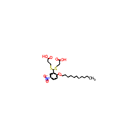 CCCCCCCCCCCOc1ccc([N+](=O)[O-])cc1C(SCCC(=O)O)SCCC(=O)O